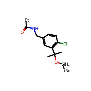 CCC(=O)NCc1ccc(Cl)c(C(C)(C)O[SiH2]C(C)(C)C)c1